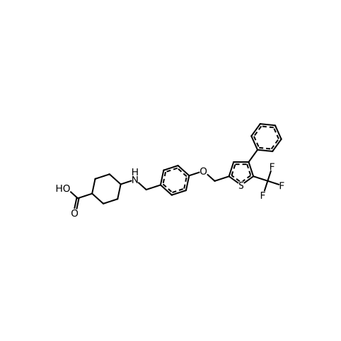 O=C(O)C1CCC(NCc2ccc(OCc3cc(-c4ccccc4)c(C(F)(F)F)s3)cc2)CC1